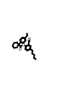 CCCCCc1ccc(OC(=O)C2(c3ccc(CC)cc3)CCCCC2)c(C#N)c1